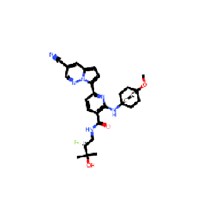 COC12CCC(Nc3nc(-c4ccc5cc(C#N)cnn45)ccc3C(=O)NC[C@@H](F)C(C)(C)O)(CC1)CC2